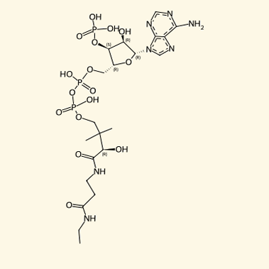 CCNC(=O)CCNC(=O)[C@H](O)C(C)(C)COP(=O)(O)OP(=O)(O)OC[C@H]1O[C@@H](n2cnc3c(N)ncnc32)[C@H](O)[C@@H]1OP(=O)(O)O